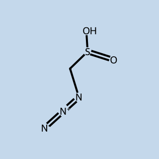 [N-]=[N+]=NCS(=O)O